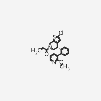 C=CC(=O)N1Cc2sc(Cl)cc2[C@H](c2ccccc2-c2cccnc2OC)C1